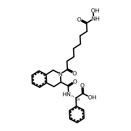 O=C(CCCCCCC(=O)N1Cc2ccccc2CC1C(=O)N[C@H](C(=O)O)c1ccccc1)NO